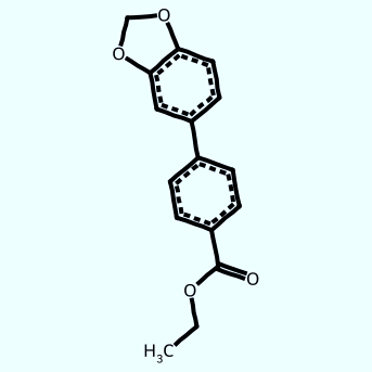 CCOC(=O)c1ccc(-c2ccc3c(c2)OCO3)cc1